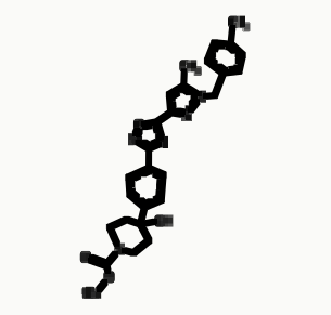 Cc1ccc(Cn2nc(-c3nc(-c4ccc(C5(O)CCN(C(=O)OC(C)(C)C)CC5)cc4)no3)cc2C)cc1